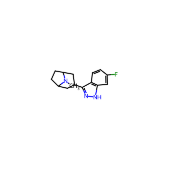 CN1C2CCC1CC(c1n[nH]c3cc(F)ccc13)C2